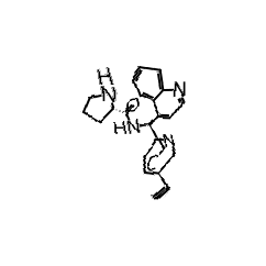 C=CC1CN2CCC1CC2[C@@H](NC(=O)[C@@H]1CCCN1)c1ccnc2ccccc12